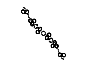 C=CC(=O)OCCCCOC(=O)Oc1ccc(OC(=O)[C@H]2CC[C@H](C(=O)Oc3ccc(OC(=O)OCCCCOC(=O)C=C)cc3)CC2)cc1